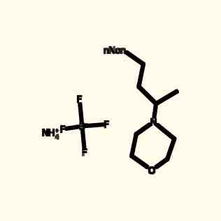 CCCCCCCCCCCC(C)N1CCOCC1.F[B-](F)(F)F.[NH4+]